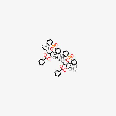 CCC(C(C)OC(=O)c1ccccc1)C(C)OP(=O)(c1ccccc1)c1ccccc1.CCCCC(C(C)OC(=O)c1ccccc1)C(C)OP(=O)(c1ccccc1)c1ccccc1